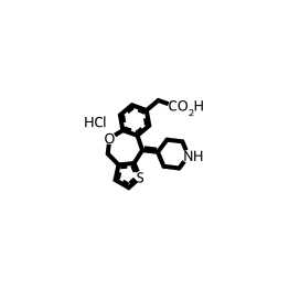 Cl.O=C(O)Cc1ccc2c(c1)C(=C1CCNCC1)c1sccc1CO2